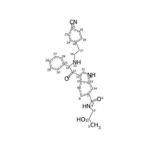 CC(O)CNC(=O)c1ccc2c(C(=O)C(NCCc3ccc(C#N)cc3)c3ccccc3)c[nH]c2c1